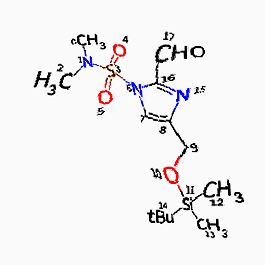 CN(C)S(=O)(=O)n1cc(CO[Si](C)(C)C(C)(C)C)nc1C=O